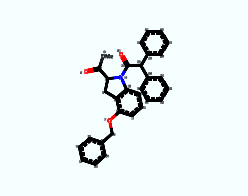 COC(=O)C1Cc2c(OCc3ccccc3)cccc2N1C(=O)C(c1ccccc1)c1ccccc1